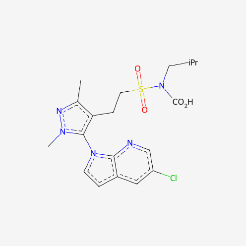 Cc1nn(C)c(-n2ccc3cc(Cl)cnc32)c1CCS(=O)(=O)N(CC(C)C)C(=O)O